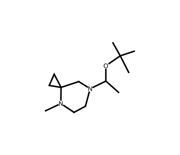 CC(OC(C)(C)C)N1CCN(C)C2(CC2)C1